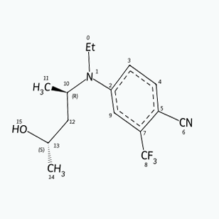 CCN(c1ccc(C#N)c(C(F)(F)F)c1)[C@H](C)C[C@H](C)O